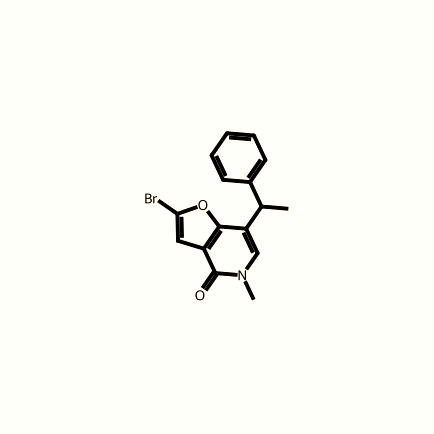 CC(c1ccccc1)c1cn(C)c(=O)c2cc(Br)oc12